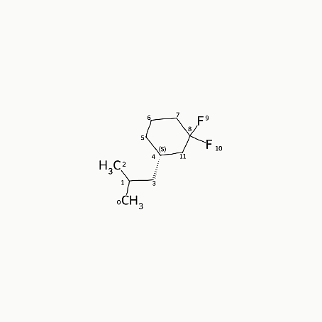 CC(C)C[C@@H]1CCCC(F)(F)C1